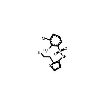 Cc1c(Cl)cccc1S(=O)(=O)Nc1ccsc1CCBr